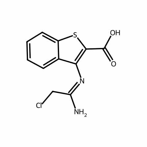 N/C(CCl)=N/c1c(C(=O)O)sc2ccccc12